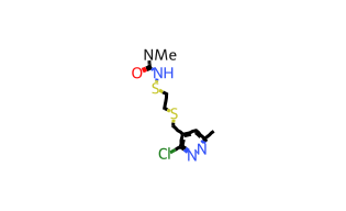 CNC(=O)NSCCSCc1cc(C)nnc1Cl